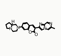 Cc1cn2cc(-c3cc4ccc(N5CCN6CCC[C@@H]6C5)cc4oc3=O)nc2cn1